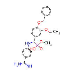 CCOc1cc(C(Nc2ccc(C(=N)N)cc2)P(=O)(O)OC)ccc1OCc1ccccc1